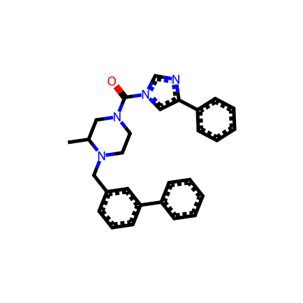 CC1CN(C(=O)n2cnc(-c3ccccc3)c2)CCN1Cc1cccc(-c2ccccc2)c1